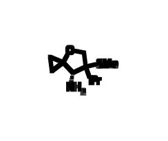 CSC1(C(C)C)COC2(CC2)[C@H]1N